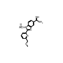 COCc1cccc(-c2nc3cc(C(=N)N)ccc3[nH]2)n1.Cl.Cl